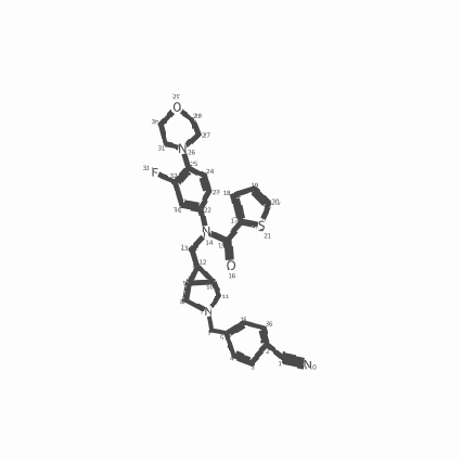 N#Cc1ccc(CN2CC3C(C2)C3CN(C(=O)c2cccs2)c2ccc(N3CCOCC3)c(F)c2)cc1